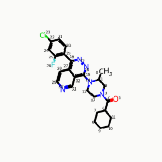 CC1CN(C(=O)C2CCCCC2)CCN1c1nnc(-c2ccc(Cl)cc2F)c2ccncc12